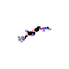 CCN(CC)CCCOc1cc2nccc(Oc3ccc4c(ccn4OCN/C=N/C=C\S)c3)c2cc1C#N